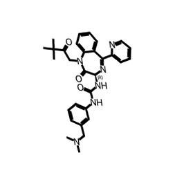 CN(C)Cc1cccc(NC(=O)N[C@@H]2N=C(c3ccccn3)c3ccccc3N(CC(=O)C(C)(C)C)C2=O)c1